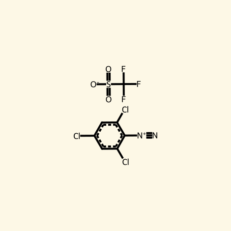 N#[N+]c1c(Cl)cc(Cl)cc1Cl.O=S(=O)([O-])C(F)(F)F